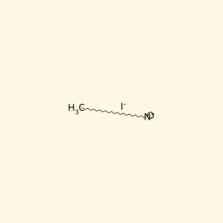 CCCCCCCCCCCCCCCCCCCCCC[n+]1ccccc1.[I-]